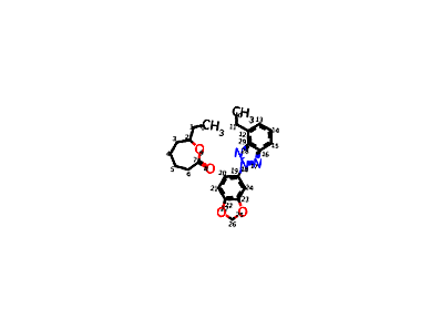 CCC1CCCCC(=O)O1.CCc1cccc2nn(-c3ccc4c(c3)OCO4)nc12